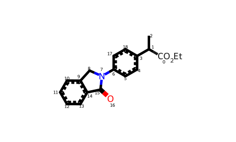 CCOC(=O)C(C)c1ccc(N2Cc3ccccc3C2=O)cc1